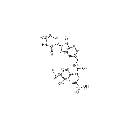 C=C(CN(C(=O)NCc1ccc2c(c1)CN(C1CCC(=O)NC1=O)C2=O)c1ccc(OC)c(Cl)c1)C(=O)O